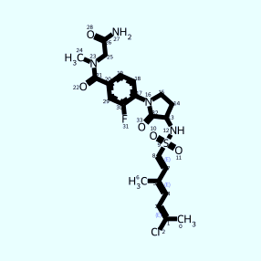 C\C(Cl)=C/C=C(C)/C=C/S(=O)(=O)NC1CCN(c2ccc(C(=O)N(C)CC(N)=O)cc2F)C1=O